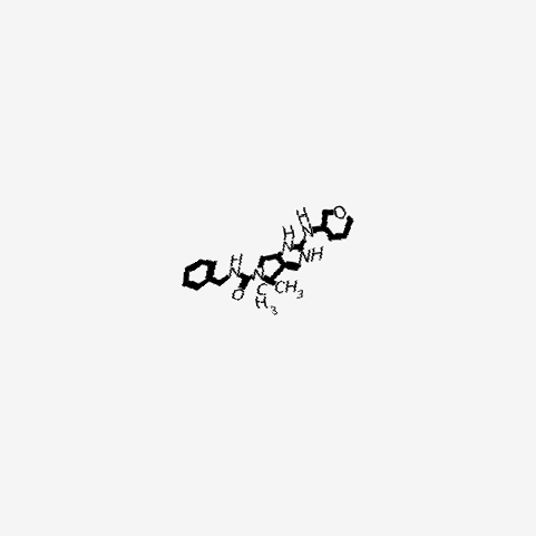 CC1(C)C2=CNC(NC3CCCOC3)NC2CN1C(=O)NCc1ccccc1